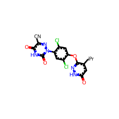 CC(C)c1cc(=O)[nH]nc1Oc1cc(Cl)c(-n2nc(C#N)c(=O)[nH]c2=O)cc1Cl